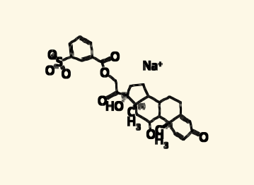 C[C@]12C=CC(=O)C=C1CCC1C2C(O)C[C@@]2(C)C1CC[C@]2(O)C(=O)COC(=O)c1cccc(S(=O)(=O)[O-])c1.[Na+]